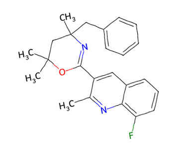 Cc1nc2c(F)cccc2cc1C1=NC(C)(Cc2ccccc2)CC(C)(C)O1